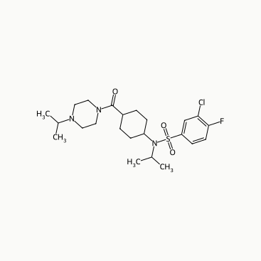 CC(C)N1CCN(C(=O)C2CCC(N(C(C)C)S(=O)(=O)c3ccc(F)c(Cl)c3)CC2)CC1